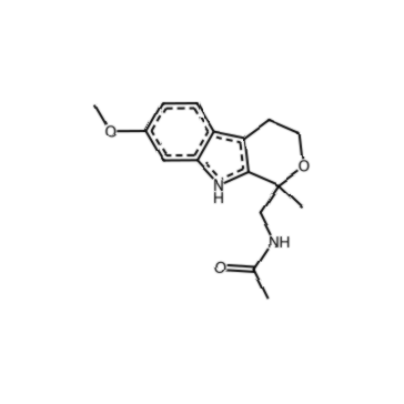 COc1ccc2c3c([nH]c2c1)C(C)(CNC(C)=O)OCC3